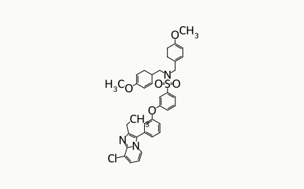 CCc1nc2c(Cl)cccn2c1-c1cccc(Oc2cccc(S(=O)(=O)N(CC3=CC=C(OC)CC3)CC3C=CC(OC)=CC3)c2)c1